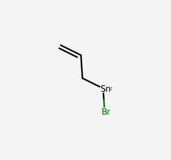 C=C[CH2][Sn][Br]